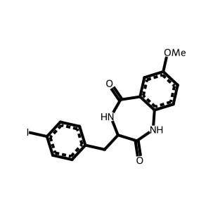 COc1ccc2c(c1)C(=O)NC(Cc1ccc(I)cc1)C(=O)N2